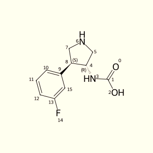 O=C(O)N[C@H]1CNC[C@@H]1c1cccc(F)c1